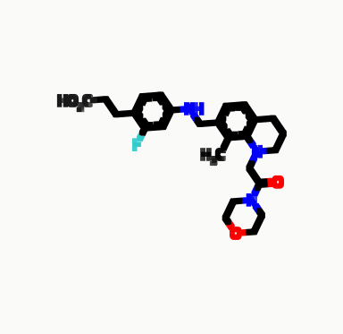 Cc1c(CNc2ccc(CCC(=O)O)c(F)c2)ccc2c1N(CC(=O)N1CCOCC1)CCC2